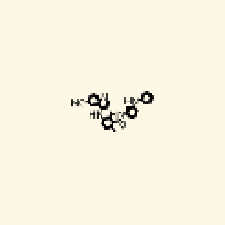 Cc1ccc(Nc2ccnc3ccc(C#N)cc23)cc1C(=O)Nc1cccc(Nc2ccccc2)c1